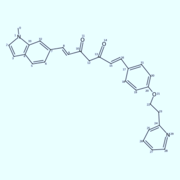 Cn1ccc2ccc(/C=C/C(=O)CC(=O)/C=C/c3ccc(OCCc4ccccn4)cc3)cc21